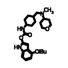 CC(C)COc1cccc2[nH]c(OC(=O)NC3CCC(CN(C)C4CCOCC4)CC3)cc12